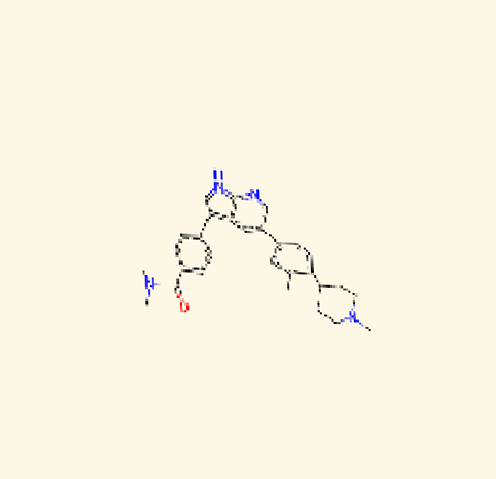 Cc1cc(-c2cnc3[nH]cc(-c4ccc(C(=O)N(C)C)cc4)c3c2)ccc1C1CCN(C)CC1